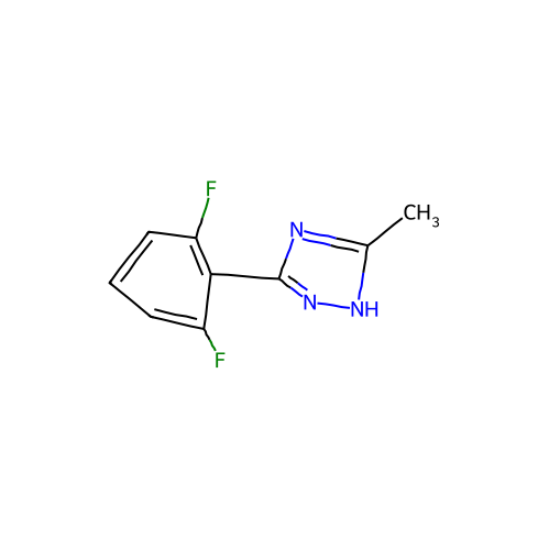 Cc1nc(-c2c(F)cccc2F)n[nH]1